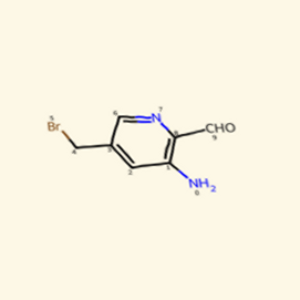 Nc1cc(CBr)cnc1C=O